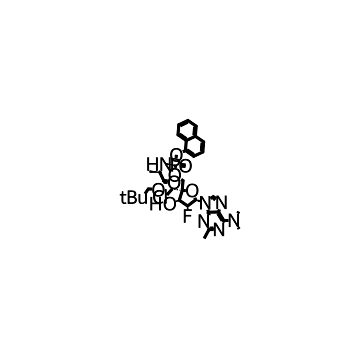 Cc1nc(N(C)C)c2ncn([C@@H]3O[C@](CCl)(CO[P@](=O)(N[C@H](C)C(=O)OCC(C)(C)C)Oc4cccc5ccccc45)[C@@H](O)[C@H]3F)c2n1